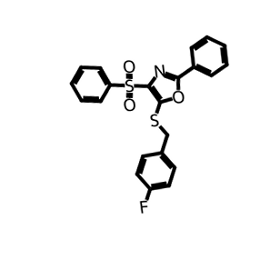 O=S(=O)(c1ccccc1)c1nc(-c2ccccc2)oc1SCc1ccc(F)cc1